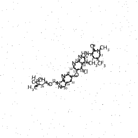 Cn1cc(C(F)(F)F)cc(Nc2nc3ncc(Oc4cnc5c(cnn5COCC[Si](C)(C)C)c4)c(Cl)c3n2C)c1=O